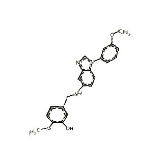 COc1cccc(-n2cnc3cc(NCc4ccc(OC)c(O)c4)ccc32)c1